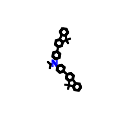 CC(C)N(c1ccc(-c2ccc3c(c2)C(C)(C)c2ccccc2-3)cc1)c1ccc(-c2ccc3c(c2)C(C)(C)c2ccccc2-3)cc1